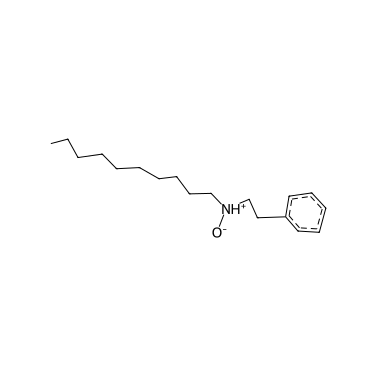 CCCCCCCCCC[NH+]([O-])CCc1ccccc1